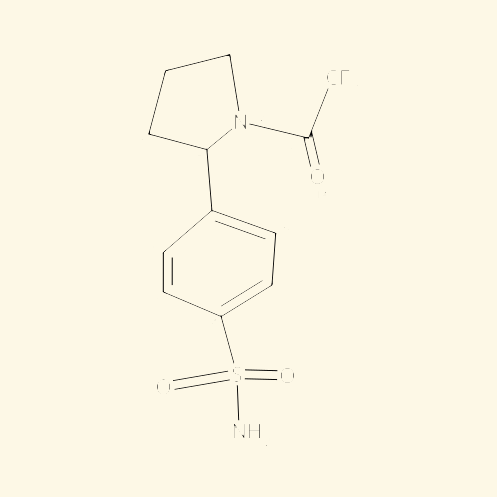 NS(=O)(=O)c1ccc(C2CCCN2C(=O)C(F)(F)F)cc1